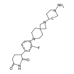 NN1CCC(N2CC3(CCN(c4ccc(C5CCC(=O)NC5=O)cc4F)CC3)C2)CC1